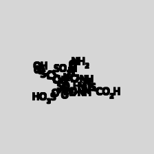 NO/C=N/c1cc(Nc2nc(Nc3ccc(S(=O)(=O)CCOS(=O)(=O)O)cc3)nc(SCC(=O)O)n2)ccc1N=Nc1cc2c(S(=O)(=O)O)cc(SOOO)cc2cc1S(=O)(=O)O